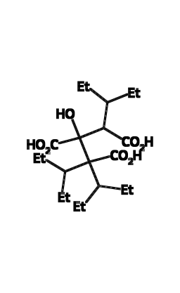 CCC(CC)C(C(=O)O)C(O)(C(=O)O)C(C(=O)O)(C(CC)CC)C(CC)CC